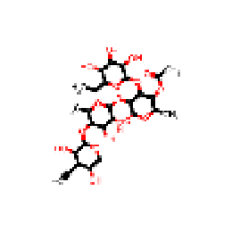 C#CC1C(O)COC(OC2C(C)OC(OC3C(O)OC(C)C(OC(C)=O)C3OC3OC(CC)C(O)C(O)C3O)C(O)C2O)C1O